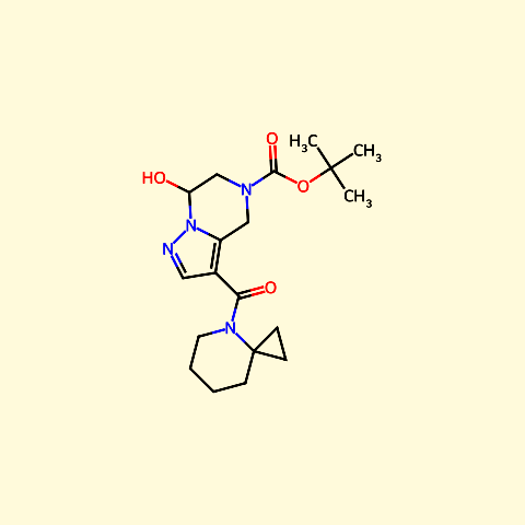 CC(C)(C)OC(=O)N1Cc2c(C(=O)N3CCCCC34CC4)cnn2C(O)C1